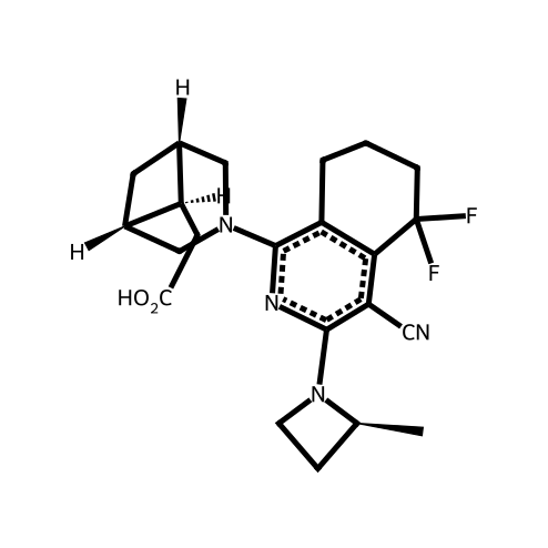 C[C@H]1CCN1c1nc(N2C[C@H]3C[C@@H](C2)[C@@H]3CC(=O)O)c2c(c1C#N)C(F)(F)CCC2